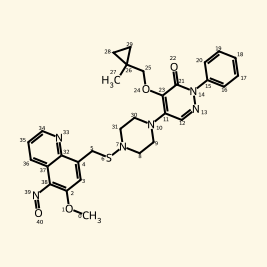 COc1cc(CSN2CCN(c3cnn(-c4ccccc4)c(=O)c3OCC3(C)CC3)CC2)c2ncccc2c1N=O